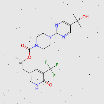 C[C@@H](Cc1c[nH]c(=O)c(C(F)(F)F)c1)OC(=O)N1CCN(c2ncc(C(C)(C)O)cn2)CC1